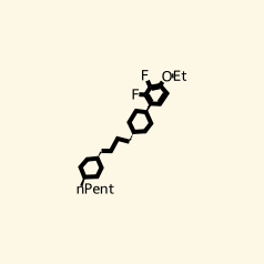 CCCCC[C@H]1CC[C@H](CCCC[C@H]2CC[C@H](c3ccc(OCC)c(F)c3F)CC2)CC1